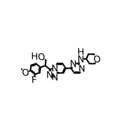 COc1ccc(C(CO)c2nnc3cc(-c4ccnc(NC5CCOCC5)n4)ccn23)cc1F